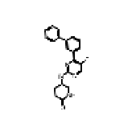 O=C1CCC(Nc2ncc(Cl)c(-c3cccc(-c4ccccc4)c3)n2)CN1